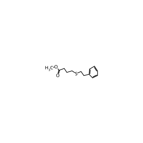 COC(=O)CCCSCCc1ccccc1